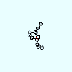 c1ccc(-c2ccc(-c3nc(-c4ccccc4)nc(-c4cccc5oc6ccc(-c7cccc(-c8ccc9oc%10ccccc%10c9c8)c7)cc6c45)n3)cc2)cc1